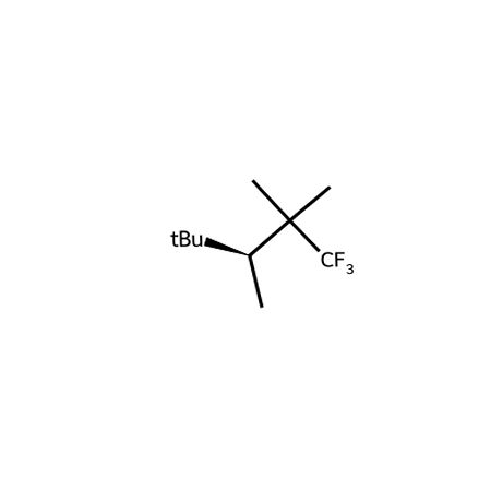 C[C@@H](C(C)(C)C)C(C)(C)C(F)(F)F